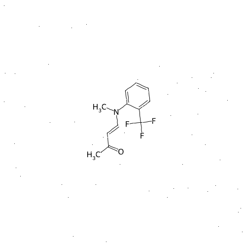 CC(=O)/C=C/N(C)c1ccccc1C(F)(F)F